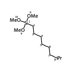 CO[Si](CCCCCCC(C)C)(OC)OC